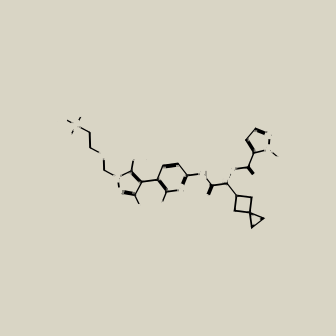 CCn1nccc1C(=O)N[C@H](C(=O)Nc1ccc(-c2c(C)nn(COCC[Si](C)(C)C)c2C)c(F)n1)C1CC2(CC2)C1